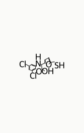 O=C(O)C(Nc1cc(Cl)cc(Cl)c1)c1ccc(CS)o1